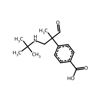 CC(C)(C)NCC(C)(C=O)c1ccc(C(=O)O)cc1